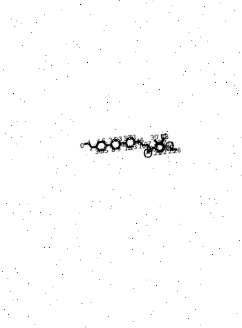 CCCC1CCC(C2CCC(C3CCC(CCCC(=O)c4ccc(OCC)c(F)c4C)CC3)CC2)CC1